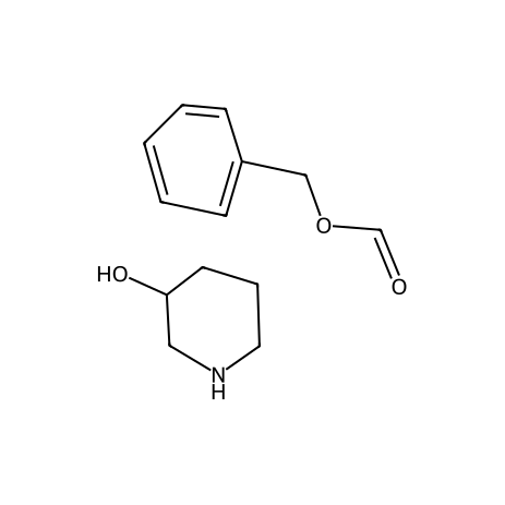 O=COCc1ccccc1.OC1CCCNC1